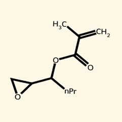 C=C(C)C(=O)OC(CCC)C1CO1